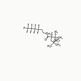 CC(C)(C)CC(C)(C(=O)OCCC(F)(F)C(F)(F)C(F)(F)C(F)(F)F)C(C)(C)C